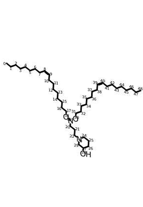 CCCCCCCC/C=C\CCCCCCCCON(CCCN1CCCC(O)C1)OCCCCCCCC/C=C\CCCCCCCC